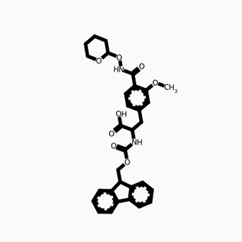 COc1cc(CC(NC(=O)OCC2c3ccccc3-c3ccccc32)C(=O)O)ccc1C(=O)NOC1CCCCO1